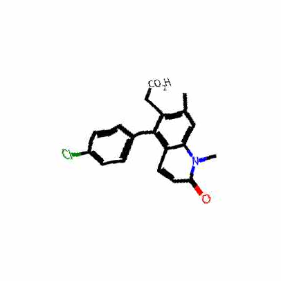 Cc1cc2c(ccc(=O)n2C)c(-c2ccc(Cl)cc2)c1CC(=O)O